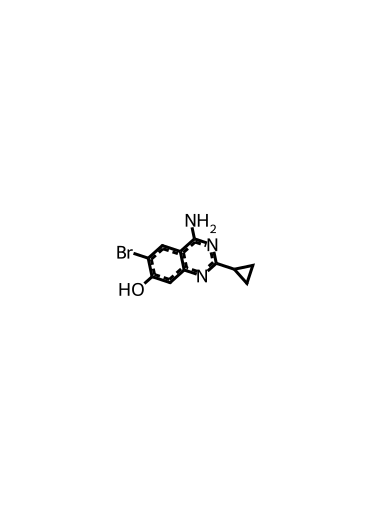 Nc1nc(C2CC2)nc2cc(O)c(Br)cc12